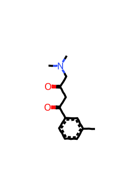 Cc1cccc(C(=O)CC(=O)CN(C)C)c1